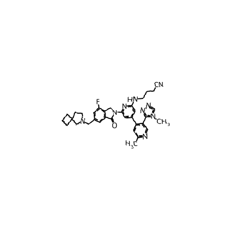 Cc1cc(-c2cc(NCCCC#N)nc(N3Cc4c(F)cc(CN5CCC6(CCC6)C5)cc4C3=O)c2)c(-c2nncn2C)cn1